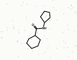 O=C(NC1CCCC1)C1CCCCC1